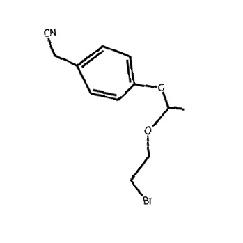 CC(OCCBr)Oc1ccc(CC#N)cc1